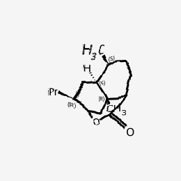 CC(C)[C@H]1C[C@H]2[C@@H](C)CCC3C(=O)OC1C[C@@]32C